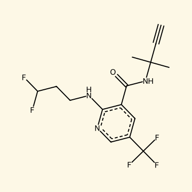 C#CC(C)(C)NC(=O)c1cc(C(F)(F)F)cnc1NCCC(F)F